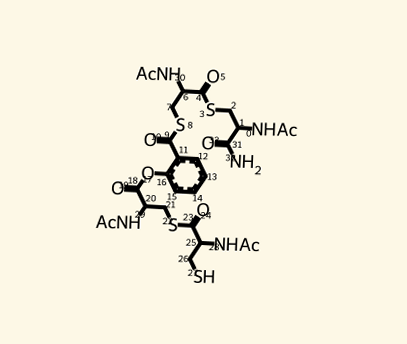 CC(=O)NC(CSC(=O)C(CSC(=O)c1ccccc1OC(=O)C(CSC(=O)C(CS)NC(C)=O)NC(C)=O)NC(C)=O)C(N)=O